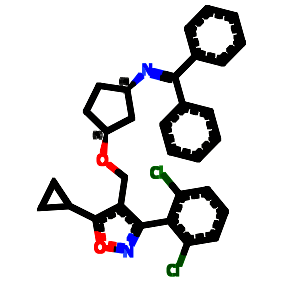 Clc1cccc(Cl)c1-c1noc(C2CC2)c1CO[C@H]1CC[C@@H](N=C(c2ccccc2)c2ccccc2)C1